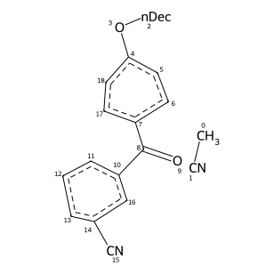 CC#N.CCCCCCCCCCOc1ccc(C(=O)c2cccc(C#N)c2)cc1